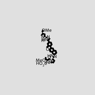 COC[C@@H]1CN[C@H](c2ncc(C3=CC4=COC5=CC6C(=CC=C7N=C([C@@H]8CC[C@H](C)N8C(=O)[C@@H](NC(=O)O)[C@@H](C)OC)NC76)C=C5C4C=C3)[nH]2)C1